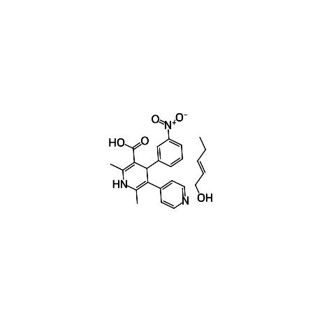 CC1=C(C(=O)O)C(c2cccc([N+](=O)[O-])c2)C(c2ccncc2)=C(C)N1.CCC=CCO